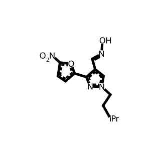 CC(C)CCn1cc(C=NO)c(-c2ccc([N+](=O)[O-])o2)n1